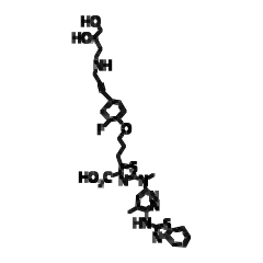 Cc1cc(N(C)c2nc(C(=O)O)c(CCCOc3ccc(C#CCNCC[C@@H](O)CO)cc3F)s2)nnc1Nc1nc2ccccc2s1